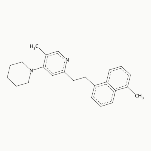 Cc1cnc(CCc2cccc3c(C)cccc23)cc1N1CCCCC1